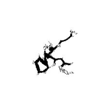 CC(C)CC(Cl)c1c(OCCN)noc1-c1ccccc1.Cl